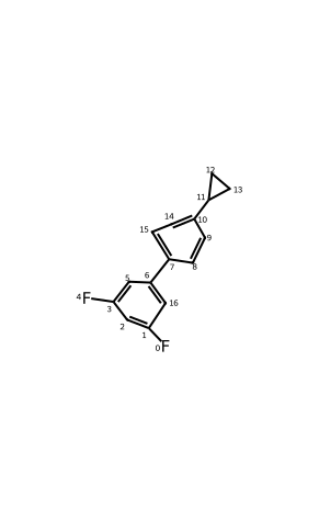 Fc1cc(F)cc(-c2ccc(C3CC3)cc2)c1